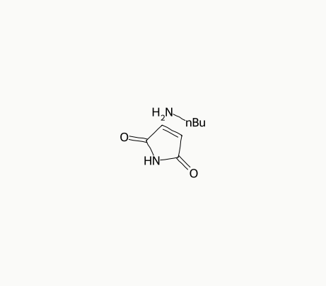 CCCCN.O=C1C=CC(=O)N1